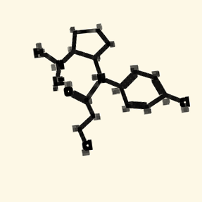 CCN(CC)C1CCCC1N(C(=O)CCCl)c1ccc(Cl)cc1